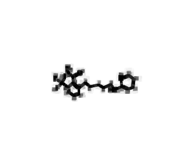 NC(=O)c1c([CH]CCCCNc2ccccn2)cccc1C(F)(F)F